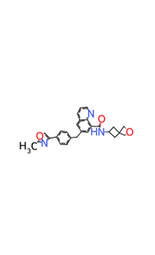 Cc1nc(-c2ccc(Cc3cc(C(=O)NC4CC5(COC5)C4)c4ncccc4c3)cc2)co1